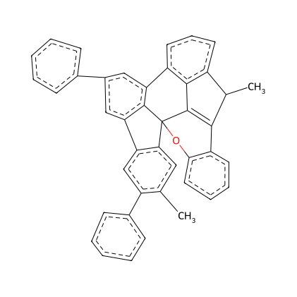 Cc1cc2c(cc1-c1ccccc1)-c1cc(-c3ccccc3)cc3c1C21Oc2ccccc2C2=C1c1c-3cccc1C2C